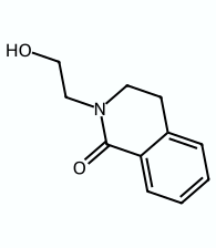 O=C1c2ccccc2CCN1CCO